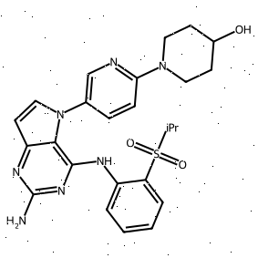 CC(C)S(=O)(=O)c1ccccc1Nc1nc(N)nc2ccn(-c3ccc(N4CCC(O)CC4)nc3)c12